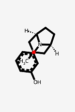 CN1C[C@H]2CC[C@@H](C1)N2c1cccc(O)c1